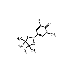 Cn1cc(B2OC(C)(C)C(C)(C)O2)cc(F)c1=O